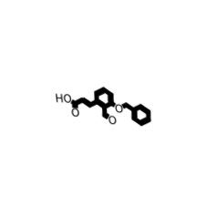 O=Cc1c(/C=C/C(=O)O)cccc1OCc1ccccc1